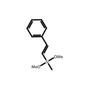 CO[Si](C)(C=Cc1ccccc1)OC